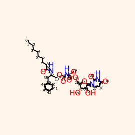 CCCCCCCCCC(=O)NC(COC(=O)NS(=O)(=O)OC[C@H]1O[C@@H](n2ccc(=O)[nH]c2=O)[C@H](O)[C@@H]1O)Cc1ccccc1